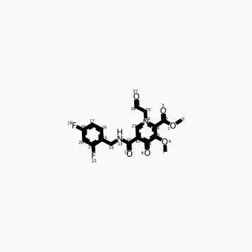 COC(=O)c1c(OC)c(=O)c(C(=O)NCc2ccc(F)cc2F)cn1CC=O